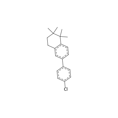 CC1(C)CCc2cc(-c3ccc(Cl)cc3)ccc2C1(C)C